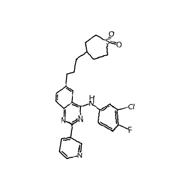 O=S1(=O)CCC(CCCc2ccc3nc(-c4cccnc4)nc(Nc4ccc(F)c(Cl)c4)c3c2)CC1